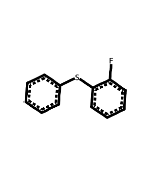 Fc1ccccc1Sc1cc[c]cc1